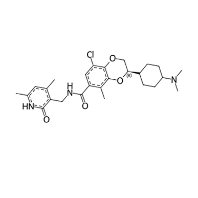 Cc1cc(C)c(CNC(=O)c2cc(Cl)c3c(c2C)O[C@H](C2CCC(N(C)C)CC2)CO3)c(=O)[nH]1